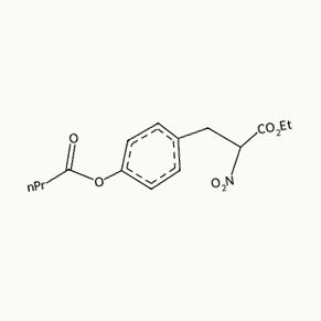 [CH2]CCC(=O)Oc1ccc(CC(C(=O)OCC)[N+](=O)[O-])cc1